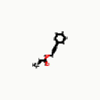 C=CC(=O)OCC#CC1CCCCC1